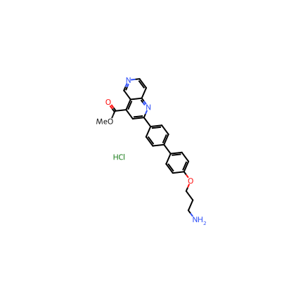 COC(=O)c1cc(-c2ccc(-c3ccc(OCCCN)cc3)cc2)nc2ccncc12.Cl